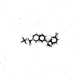 CC(C)(C)OC(=O)N1CCc2ccc(-n3cnc4ccc(Br)nc43)cc2C1